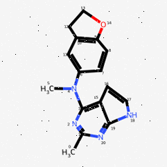 Cc1nc(N(C)c2ccc3c(c2)CCO3)c2cc[nH]c2n1